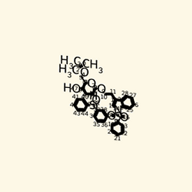 CC(C)(C)OC[C@H]1O[C@@H](OCCc2cn(S(=O)(=O)c3ccccc3)c3ccccc23)[C@H](O[SiH](c2ccccc2)c2ccccc2)C[C@H]1O